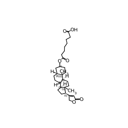 C[C@]12CC[C@H](OC(=O)CCCCCCC(=O)O)C[C@H]1CC[C@@H]1[C@@H]2CC[C@]2(C)[C@@H](C3=CC(=O)OC3)CC[C@@H]12